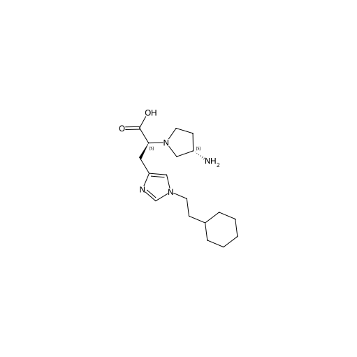 N[C@H]1CCN([C@@H](Cc2cn(CCC3CCCCC3)cn2)C(=O)O)C1